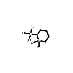 CC[Si](CC)(CC)N1CCCC[Si]1(C)Cl